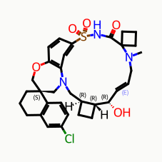 CN1C/C=C/[C@H](O)[C@@H]2CC[C@H]2CN2C[C@@]3(CCCc4cc(Cl)ccc43)COc3ccc(cc32)S(=O)(=O)NC(=O)C12CCC2